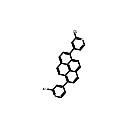 N#Cc1cc(-c2ccc3ccc4c(-c5ccnc(C#N)c5)ccc5ccc2c3c54)ccn1